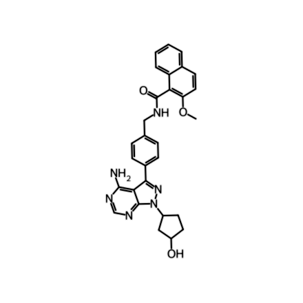 COc1ccc2ccccc2c1C(=O)NCc1ccc(-c2nn(C3CCC(O)C3)c3ncnc(N)c23)cc1